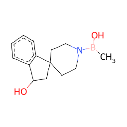 CB(O)N1CCC2(CC1)CC(O)c1ccccc12